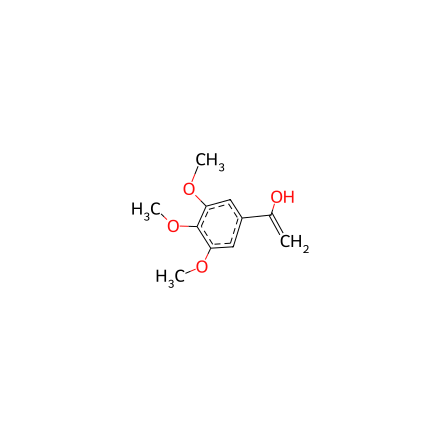 C=C(O)c1cc(OC)c(OC)c(OC)c1